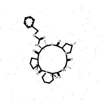 C[C@H]1CC2C(=O)O[C@@H](C)[C@H](NC(=O)OCc3ccccc3)C(=O)C3CCC[C@H]3C(=O)N3CCCC[C@H]3C(=O)N[C@@H](C)C(=O)N2C1